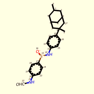 CC1CC2CC(C1)CC(C)(c1ccc(N[S+]([O-])c3ccc(NC=O)cc3)cc1)C2